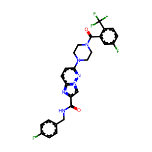 O=C(NCc1ccc(F)cc1)c1cn2nc(N3CCN(C(=O)c4cc(F)ccc4C(F)(F)F)CC3)ccc2n1